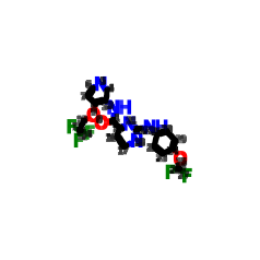 O=C(Nc1cnccc1OCC(F)(F)F)c1ccnc(Nc2ccc(OC(F)F)cc2)n1